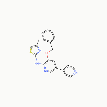 Cc1csc(Nc2ncc(-c3ccncc3)cc2OCc2ccccc2)n1